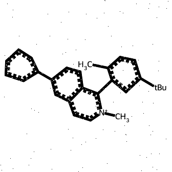 Cc1ccc(C(C)(C)C)cc1-c1c2ccc(-c3ccccc3)cc2cc[n+]1C